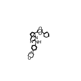 C1=CCCC(C2=COC=C(c3ccc4cnc(Nc5ccc(N6CCOCC6)cc5)nn34)O2)=C1